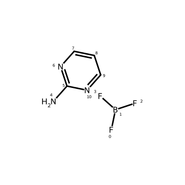 FB(F)F.Nc1ncccn1